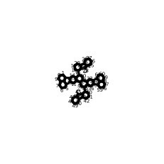 c1cc2c3c(cccc3c1)-c1cc3c(cc1-2)c(-c1cccc2c1sc1ccccc12)cc1c2cc4c(cc2c(-c2cccc5c2sc2ccccc25)cc31)-c1cccc2cccc-4c12